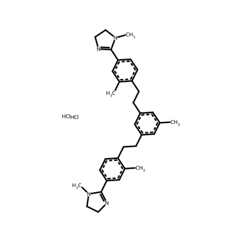 Cc1cc(CCc2ccc(C3=NCCN3C)cc2C)cc(CCc2ccc(C3=NCCN3C)cc2C)c1.Cl.Cl